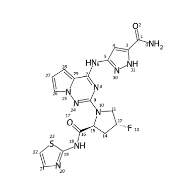 NC(=O)c1cc(Nc2nc(N3C[C@H](F)C[C@H]3C(=O)Nc3nccs3)nn3cccc23)n[nH]1